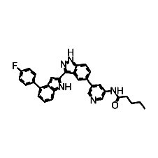 CCCCC(=O)Nc1cncc(-c2ccc3[nH]nc(-c4cc5c(-c6ccc(F)cc6)cccc5[nH]4)c3c2)c1